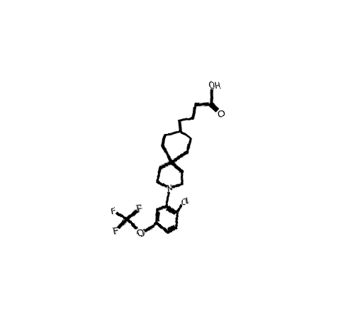 O=C(O)CCCC1CCC2(CC1)CCN(c1cc(OC(F)(F)F)ccc1Cl)CC2